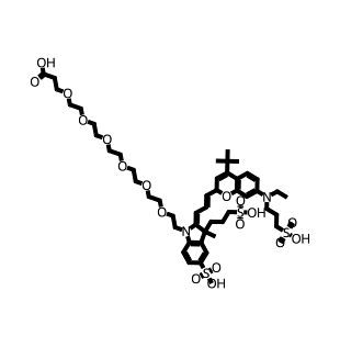 CCN(CCCS(=O)(=O)O)c1ccc2c(c1)OC(/C=C/C=C1/N(CCOCCOCCOCCOCCOCCOCCC(=O)O)c3ccc(S(=O)(=O)O)cc3C1(C)CCCS(=O)(=O)O)C=C2C(C)(C)C